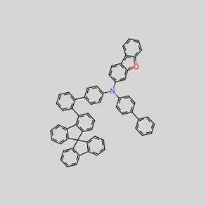 c1ccc(-c2ccc(N(c3ccc(-c4ccccc4-c4cccc5c4-c4ccccc4C54c5ccccc5-c5ccccc54)cc3)c3ccc4c(c3)oc3ccccc34)cc2)cc1